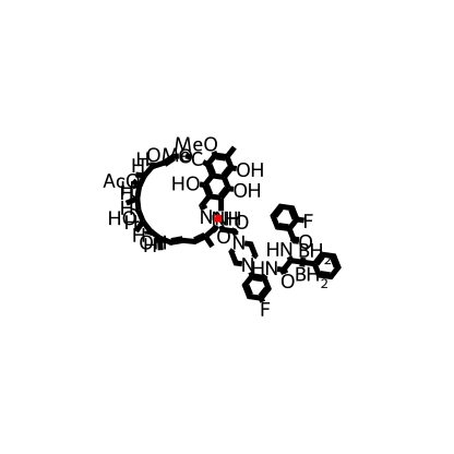 BC(B)(c1ccccc1)C(NC(=O)c1ccccc1F)C(=O)Nc1cc(F)ccc1N1CCN(C(=O)CN/N=C\c2c3c(O)c4c(O)c(C)c(OC)c(c4c2O)CO/C=C/[C@H](OC)[C@@H](C)[C@@H](OC(C)=O)[C@H](C)[C@H](O)[C@H](C)[C@@H](O)[C@@H](C)/C=C/C=C(/C)C(=O)N3)CC1